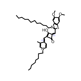 CCCCCCCCCCCC[n+]1c(/C=C2/C(=O)C(/C=C3\C=CN(CCCCCCCC)C=C3C)=C2O)sc2cc(OC)c(OC)cc21